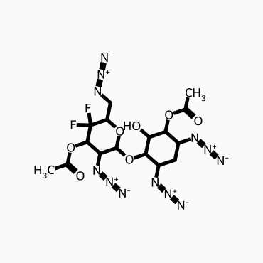 CC(=O)OC1C(N=[N+]=[N-])CC(N=[N+]=[N-])C(OC2OC(CN=[N+]=[N-])C(F)(F)C(OC(C)=O)C2N=[N+]=[N-])C1O